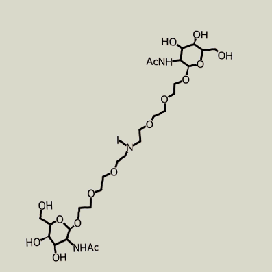 CC(=O)NC1C(O)[C@@H](O)C(CO)O[C@H]1OCCOCCOCCN(I)CCOCCOCCO[C@@H]1OC(CO)[C@H](O)C(O)C1NC(C)=O